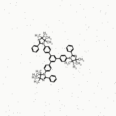 CC1(C)N=C(c2ccccc2)N(c2ccc(-c3cc(-c4ccc(N5C(c6ccccc6)=NC(C)(C)C5(C)C)cc4)cc(-c4ccc(N5C(c6ccccc6)=NC(C)(C)C5(C)C)cc4)c3)cc2)C1(C)C